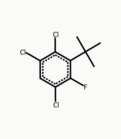 CC(C)(C)c1c(F)c(Cl)cc(Cl)c1Cl